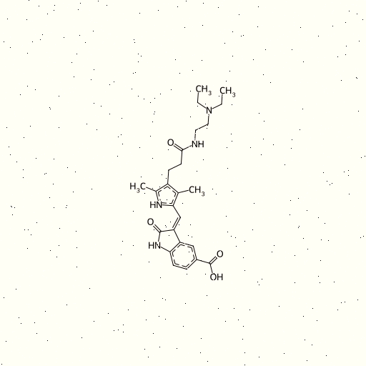 CCN(CC)CCNC(=O)CCc1c(C)[nH]c(/C=C2\C(=O)Nc3ccc(C(=O)O)cc32)c1C